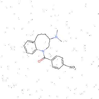 CN(C)C1CCc2ccccc2N(C(=O)c2ccc([N+](=O)[O-])cc2)C1